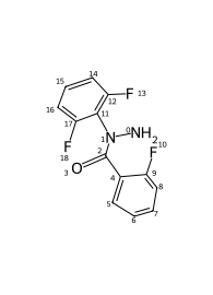 NN(C(=O)c1ccccc1F)c1c(F)cccc1F